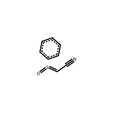 N#CC=S=O.c1ccccc1